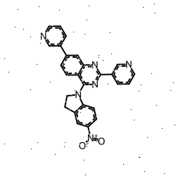 O=[N+]([O-])c1ccc2c(c1)CCN2c1nc(-c2cccnc2)nc2cc(-c3cccnc3)ccc12